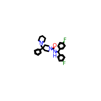 O=C(NC(c1ccc(F)cc1)c1ccc(F)cc1)N1CCC(CN2CCCCC2)(c2ccccc2)CC1